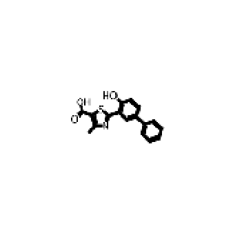 Cc1nc(-c2cc(-c3ccccc3)ccc2O)sc1C(=O)O